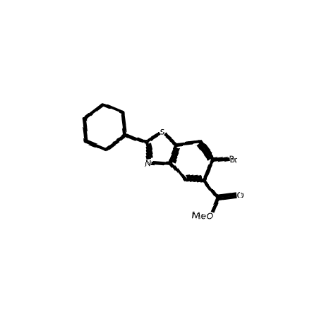 COC(=O)c1cc2nc(C3CCCCC3)sc2cc1Br